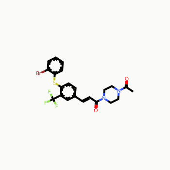 CC(=O)N1CCN(C(=O)C=Cc2ccc(Sc3ccccc3Br)c(C(F)(F)F)c2)CC1